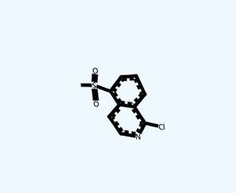 CS(=O)(=O)c1cccc2c(Cl)nccc12